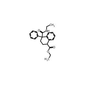 CCNC(=O)C1(c2ccccc2)CCC(C(=O)OCC)c2ccccc21